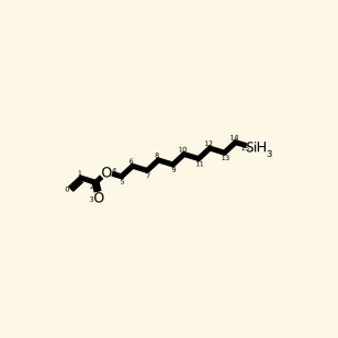 C=CC(=O)OCCCCCCCCCC[SiH3]